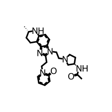 CC(=O)N[C@H]1CCN(CCn2c(CCn3ccccc3=O)nc3c4c(ccc32)N[C@@H](C)CC4)C1